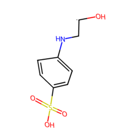 O=S(=O)(O)c1ccc(NC[CH]O)cc1